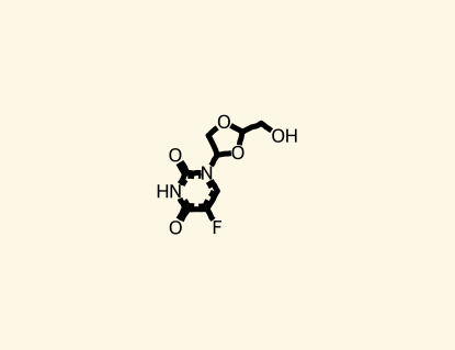 O=c1[nH]c(=O)n(C2COC(CO)O2)cc1F